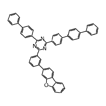 c1ccc(-c2ccc(-c3ccc(-c4nc(-c5ccc(-c6ccccc6)cc5)nc(-c5cccc(-c6ccc7c(c6)oc6ccccc67)c5)n4)cc3)cc2)cc1